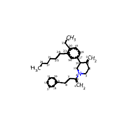 C=C1CCN(C(=C)CCc2ccccc2)CC1c1ccc(CC)c(CCCCCC)c1